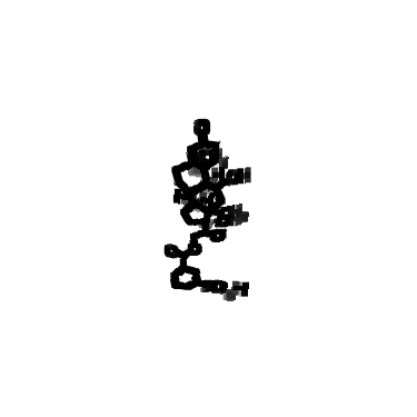 C[C@]12C=CC(=O)C=C1CC[C@@H]1[C@@H]2C(O)C[C@@]2(C)[C@H]1CC[C@]2(O)C(=O)COC(=O)c1cccc(S(=O)(=O)O)c1